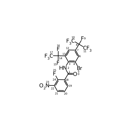 O=C(Nc1c(Br)cc(C(F)(C(F)(F)F)C(F)(F)F)cc1C(F)(F)C(F)(F)F)c1cccc([N+](=O)[O-])c1F